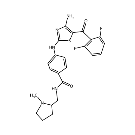 CN1CCCC1CNC(=O)c1ccc(Nc2nc(N)c(C(=O)c3c(F)cccc3F)s2)cc1